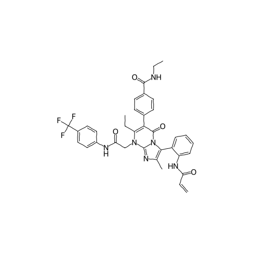 C=CC(=O)Nc1ccccc1-c1c(C)nc2n(CC(=O)Nc3ccc(C(F)(F)F)cc3)c(CC)c(-c3ccc(C(=O)NCC)cc3)c(=O)n12